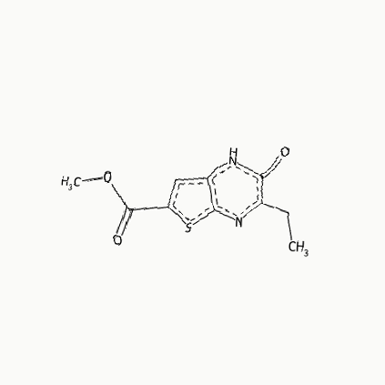 CCc1nc2sc(C(=O)OC)cc2[nH]c1=O